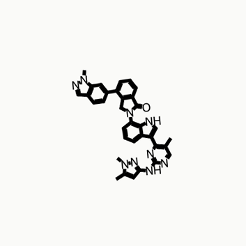 Cc1cnc(Nc2cc(C)n(C)n2)nc1-c1c[nH]c2c(N3Cc4c(cccc4-c4ccc5cnn(C)c5c4)C3=O)cccc12